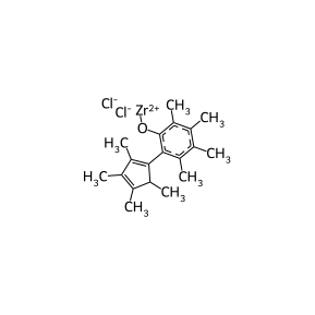 CC1=C(C)C(C)C(c2c(C)c(C)c(C)c(C)c2[O][Zr+2])=C1C.[Cl-].[Cl-]